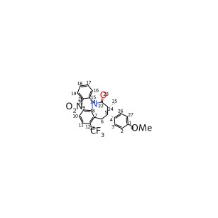 COc1ccc([C@@H]2Cc3c(cccc3C(F)(F)F)N(c3ccccc3[N+](=O)[O-])C(=O)[C@@H]2C)cc1